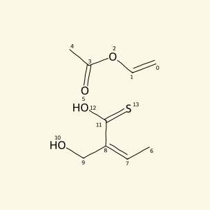 C=COC(C)=O.CC=C(CO)C(O)=S